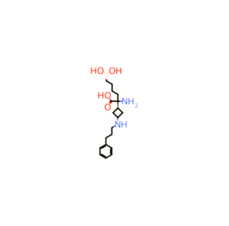 NC(CCCCB(O)O)(C(=O)O)[C@H]1C[C@@H](NCCCc2ccccc2)C1